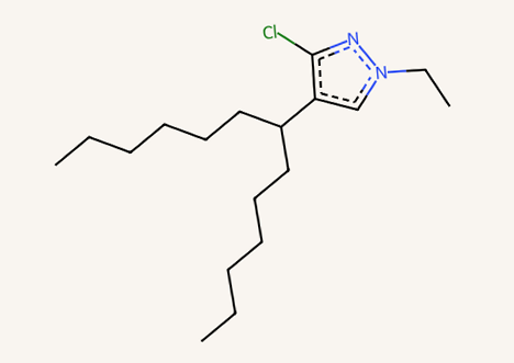 CCCCCCC(CCCCCC)c1cn(CC)nc1Cl